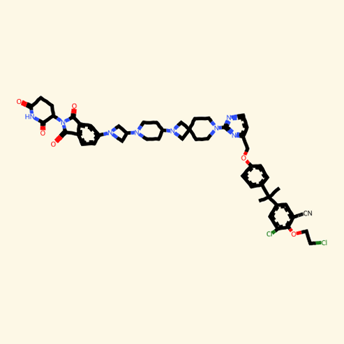 CC(C)(c1ccc(OCc2ccnc(N3CCC4(CC3)CN(C3CCN(C5CN(c6ccc7c(c6)C(=O)N(C6CCC(=O)NC6=O)C7=O)C5)CC3)C4)n2)cc1)c1cc(Cl)c(OCCCl)c(C#N)c1